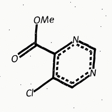 COC(=O)c1ncncc1Cl